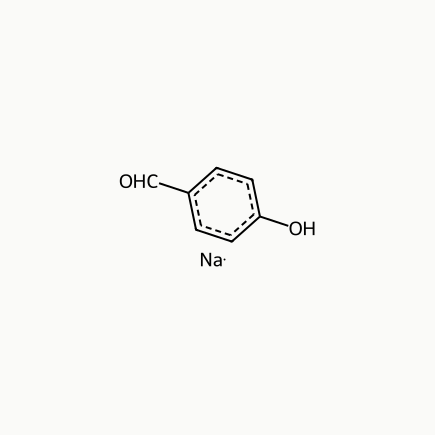 O=Cc1ccc(O)cc1.[Na]